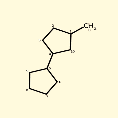 CC1CCC(C2CCCC2)C1